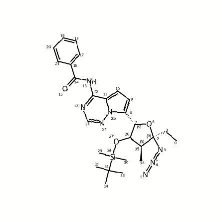 CC[C@@]1(N=[N+]=[N-])O[C@@H](c2ccc3c(NC(=O)c4ccccc4)ncnn23)C(O[Si](C)(C)C(C)(C)C)[C@@H]1C